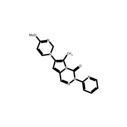 COC1=NCN(c2cc3cnn(-c4ccccn4)c(=O)n3c2C)C=C1